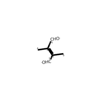 CC([C]=O)=C(C)[C]=O